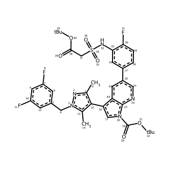 Cc1nn(Cc2cc(F)cc(F)c2)c(C)c1-c1cn(C(=O)OC(C)(C)C)c2ncc(-c3ccc(F)c(NS(=O)(=O)CC(=O)OC(C)(C)C)c3)cc12